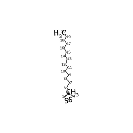 C1=CSSC1.CCCCCCCCCCCCCCCC